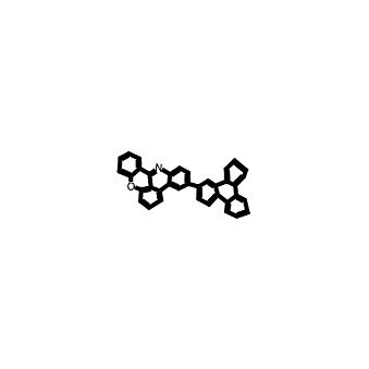 c1ccc2c(c1)Oc1cccc3c1c-2nc1ccc(-c2ccc4c5ccccc5c5ccccc5c4c2)cc13